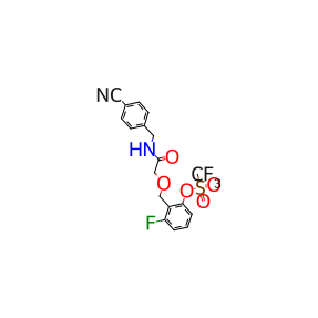 N#Cc1ccc(CNC(=O)COCc2c(F)cccc2OS(=O)(=O)C(F)(F)F)cc1